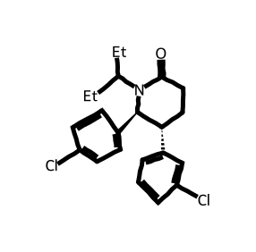 CCC(CC)N1C(=O)CC[C@H](c2cccc(Cl)c2)[C@H]1c1ccc(Cl)cc1